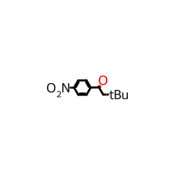 CC(C)(C)CC(=O)c1ccc([N+](=O)[O-])cc1